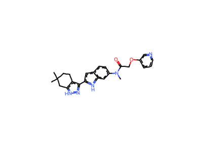 CN(C(=O)COc1cccnc1)c1ccc2cc(-c3n[nH]c4c3CCC(C)(C)C4)[nH]c2c1